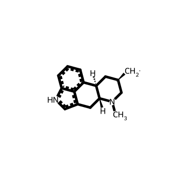 [CH2][C@@H]1C[C@@H]2c3cccc4[nH]cc(c34)C[C@H]2N(C)C1